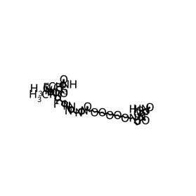 C[C@@H]1CN(c2cc(F)c(C3=CCN(c4ncc(CN5CCN(C(=O)CCOCCOCCOCCOCCOCCNc6cccc7c6C(=O)N(C6CCC(=O)NC6=O)C7=O)CC5)cn4)CC3)cc2NC(=O)c2c[nH]c(=O)cc2C(F)(F)F)C[C@H](C)N1C